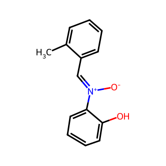 Cc1ccccc1C=[N+]([O-])c1ccccc1O